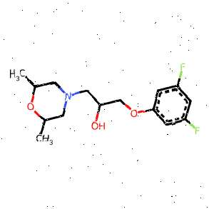 CC1CN(CC(O)COc2cc(F)cc(F)c2)CC(C)O1